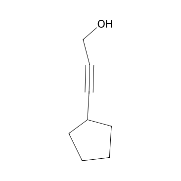 OCC#CC1CCCC1